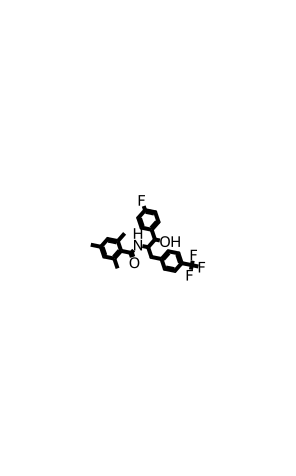 Cc1cc(C)c(C(=O)NC(Cc2ccc(C(F)(F)F)cc2)C(O)c2ccc(F)cc2)c(C)c1